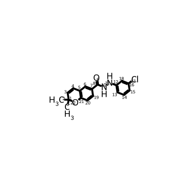 CC1(C)C=Cc2cc(C(=O)NNc3cccc(Cl)c3)ccc2O1